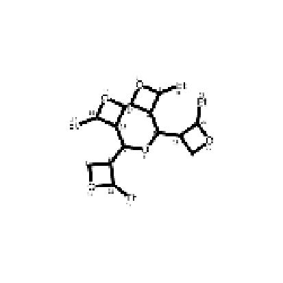 CCC1OCC1C(OC(C1COC1CC)C1COC1CC)C1COC1CC